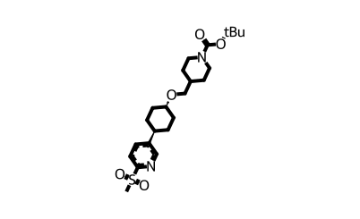 CC(C)(C)OC(=O)N1CCC(CO[C@H]2CC[C@H](c3ccc(S(C)(=O)=O)nc3)CC2)CC1